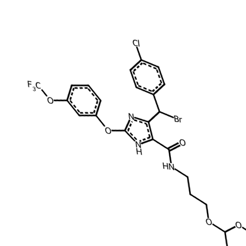 O=C(NCCCOC1CCCCO1)c1[nH]c(Oc2cccc(OC(F)(F)F)c2)nc1C(Br)c1ccc(Cl)cc1